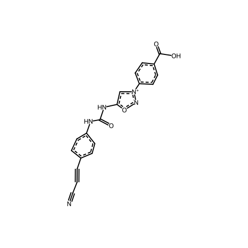 N#CC#Cc1ccc(NC(=O)Nc2c[n+](-c3ccc(C(=O)O)cc3)no2)cc1